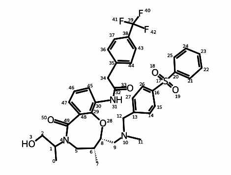 CC(CO)N1C[C@@H](C)[C@@H](CN(C)Cc2ccc(S(=O)(=O)c3ccccc3)cc2)Oc2c(NC(=O)Cc3ccc(C(F)(F)F)cc3)cccc2C1=O